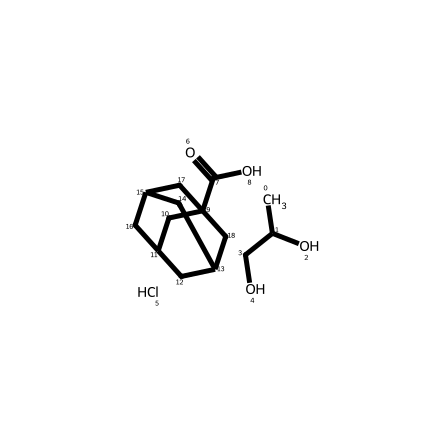 CC(O)CO.Cl.O=C(O)C12CC3CC(CC(C3)C1)C2